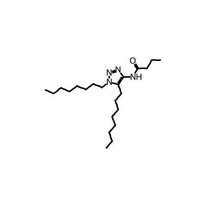 CCCCCCCCc1c(NC(=O)CCC)nnn1CCCCCCCC